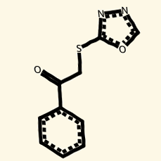 O=C(CSc1nnco1)c1ccccc1